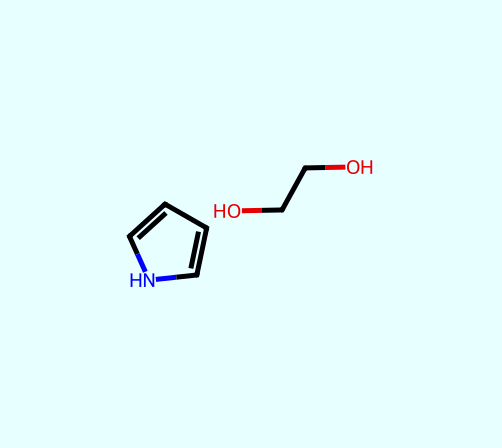 OCCO.c1cc[nH]c1